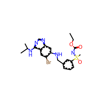 CCOC(=O)N=S(C)(=O)c1cccc(CNc2cc3ncnc(NC(C)C)c3cc2Br)c1